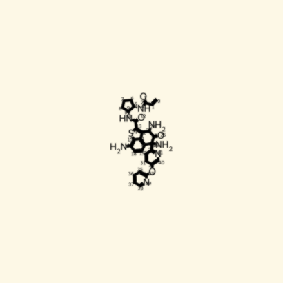 C=CC(=O)N[C@H]1CCC[C@H]1NC(=O)c1sc2c(N)ccc3c2c1C(N)C(=O)C3(N)c1ccc(Oc2ccccn2)cn1